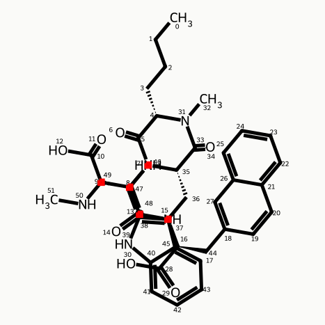 CCCC[C@@H](C(=O)N[C@@H](CC(=O)O)C(=O)N[C@@H](Cc1ccc2ccccc2c1)C(=O)O)N(C)C(=O)[C@H](Cc1c[nH]c2ccccc12)NC(=O)CNC